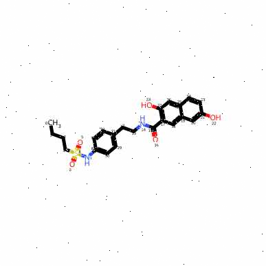 CCCCS(=O)(=O)Nc1ccc(CCNC(=O)c2cc3cc(O)ccc3cc2O)cc1